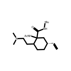 C=C[C@@H]1CCC(CCN(C)C)C(NC(C)=O)(C(=O)NC(C)(C)C)C1